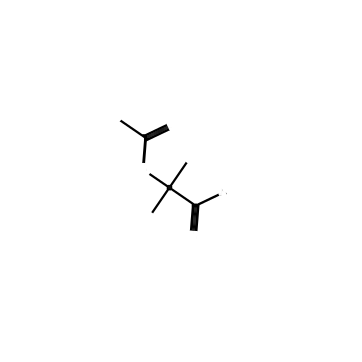 CC(=O)OC(C)(C)C(N)=O